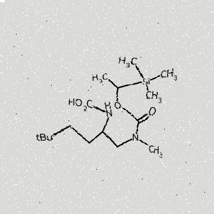 CC(OC(=O)N(C)CC(CCC(C)(C)C)NC(=O)O)[Si](C)(C)C